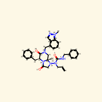 C=CCN(C(=O)NCc1ccccc1)N1CC(=O)N2[C@@H](Cc3ccccc3)C(=O)N(Cc3cccc4c3cnn4C)C[C@@H]21